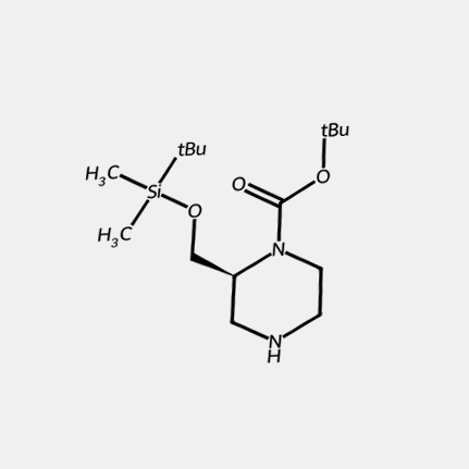 CC(C)(C)OC(=O)N1CCNC[C@H]1CO[Si](C)(C)C(C)(C)C